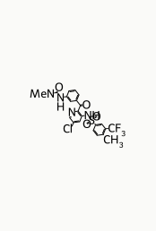 CNC(=O)Nc1cccc(C(=O)c2ncc(Cl)cc2NS(=O)(=O)c2ccc(C)c(C(F)(F)F)c2)c1